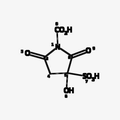 O=C(O)N1C(=O)CC(O)(S(=O)(=O)O)C1=O